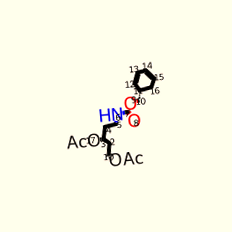 CC(=O)OCCC(CCNC(=O)OC[C@@H]1C=CC=CC1)OC(C)=O